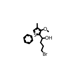 COc1c(C)csc1C(O)CCCBr.c1ccccc1